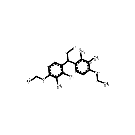 CCOc1ccc(C(CI)c2ccc(OCC)c(C)c2C)c(C)c1C